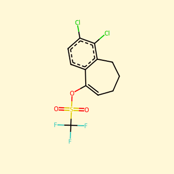 O=S(=O)(OC1=CCCCc2c1ccc(Cl)c2Cl)C(F)(F)F